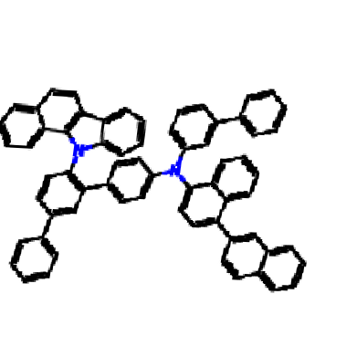 c1ccc(-c2cccc(N(c3ccc(-c4cc(-c5ccccc5)ccc4-n4c5ccccc5c5ccc6ccccc6c54)cc3)c3ccc(-c4ccc5ccccc5c4)c4ccccc34)c2)cc1